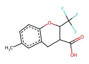 Cc1ccc2c(c1)CC(C(=O)O)C(C(F)(F)F)O2